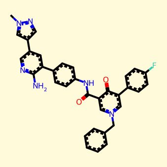 Cn1cc(-c2cnc(N)c(-c3ccc(NC(=O)c4cn(Cc5ccccc5)cc(-c5ccc(F)cc5)c4=O)cc3)c2)cn1